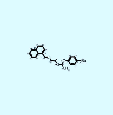 CCC(C)c1ccc(OC(C)OCCOCc2cccc3ccccc23)cc1